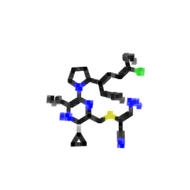 C=C/C(=C\C=C(/C)Cl)C1CCCN1C1=C(C)N[C@@H](C2CC2)C(CS/C(C#N)=C\N)=N1